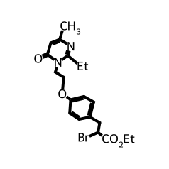 CCOC(=O)C(Br)Cc1ccc(OCCn2c(CC)nc(C)cc2=O)cc1